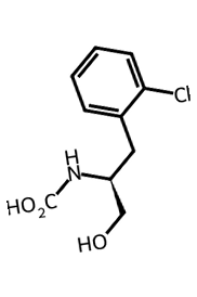 O=C(O)N[C@H](CO)Cc1ccccc1Cl